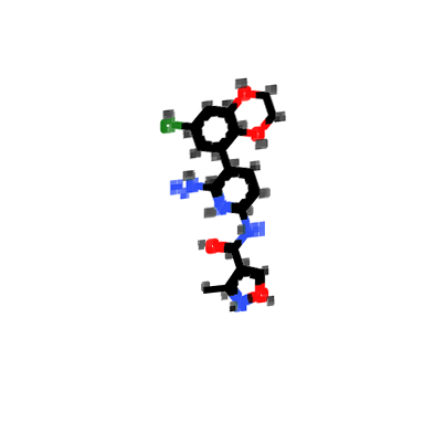 Cc1nocc1C(=O)Nc1ccc(-c2cc(Cl)cc3c2OCCO3)c(N)n1